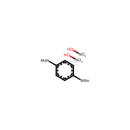 CNc1ccc(NC)cc1.O=[N+]([O-])O.O=[N+]([O-])O